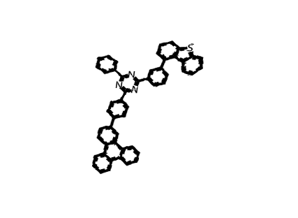 c1ccc(-c2nc(-c3ccc(-c4ccc5c6ccccc6c6ccccc6c5c4)cc3)nc(-c3cccc(-c4cccc5sc6ccccc6c45)c3)n2)cc1